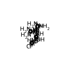 N[C@@H]1C[C@H](N)CN(c2nc(Nc3ccc(C(=O)Nc4ccc(Cl)cc4)c(O)c3)nc(N3C[C@H](N)C[C@H](N)C3)n2)C1